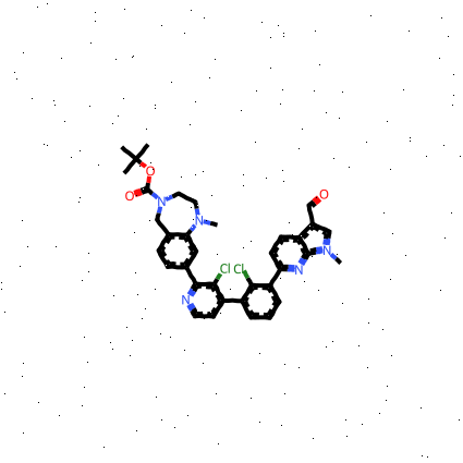 CN1CCN(C(=O)OC(C)(C)C)Cc2ccc(-c3nccc(-c4cccc(-c5ccc6c(C=O)cn(C)c6n5)c4Cl)c3Cl)cc21